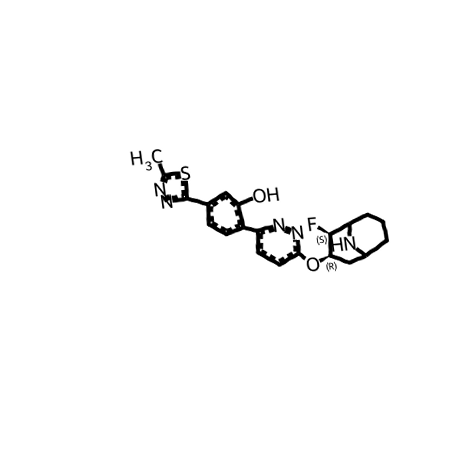 Cc1nnc(-c2ccc(-c3ccc(O[C@@H]4CC5CCCC(N5)[C@@H]4F)nn3)c(O)c2)s1